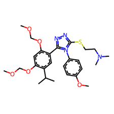 COCOc1cc(OCOC)c(C(C)C)cc1-c1nnc(SCCN(C)C)n1-c1ccc(OC)cc1